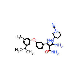 Cc1cc(Oc2cccc(-c3nn(C4CCCN(C#N)C4)c(N)c3C(N)=O)c2)cc(C(C)C)c1